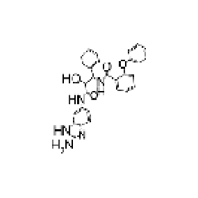 Nc1nc2ccc(NC(=O)C(O)C(NC(=O)c3ccccc3Oc3ccccc3)c3ccccc3)cc2[nH]1